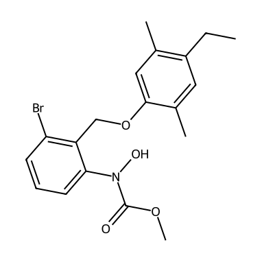 CCc1cc(C)c(OCc2c(Br)cccc2N(O)C(=O)OC)cc1C